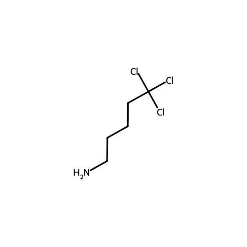 NCCCCC(Cl)(Cl)Cl